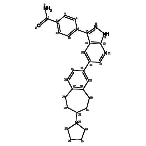 NC(=O)c1ccc(-c2n[nH]c3ncc(-c4ccc5c(c4)CCC(N4CCCC4)CC5)cc23)cc1